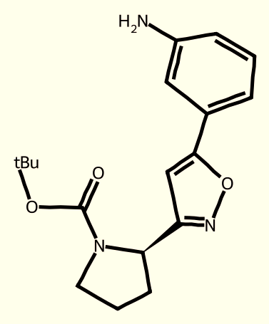 CC(C)(C)OC(=O)N1CCC[C@@H]1c1cc(-c2cccc(N)c2)on1